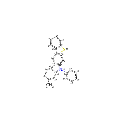 Cc1ccc2c3cc4c(cc3n(-c3ccccc3)c2c1)sc1ccccc14